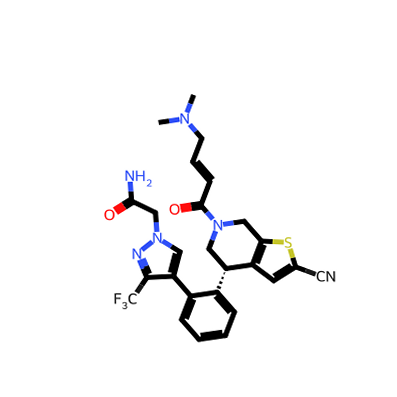 CN(C)C/C=C/C(=O)N1Cc2sc(C#N)cc2[C@H](c2ccccc2-c2cn(CC(N)=O)nc2C(F)(F)F)C1